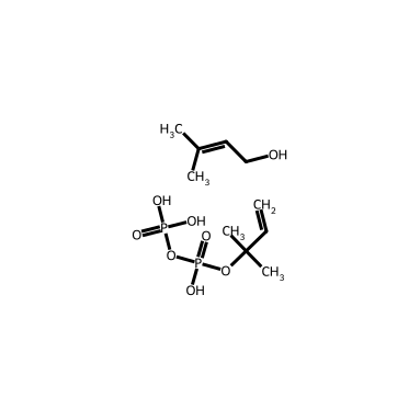 C=CC(C)(C)OP(=O)(O)OP(=O)(O)O.CC(C)=CCO